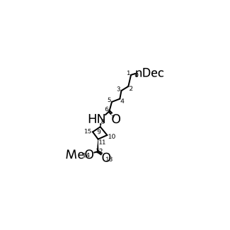 CCCCCCCCCCCCCCCC(=O)N[C@H]1C[C@@H](C(=O)OC)C1